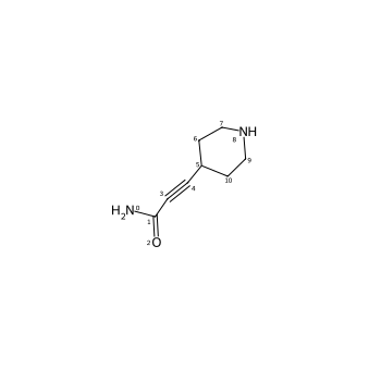 NC(=O)C#CC1CCNCC1